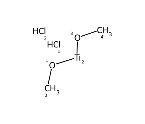 C[O][Ti][O]C.Cl.Cl